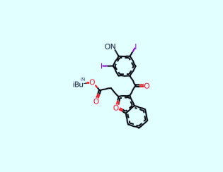 CC[C@H](C)OC(=O)Cc1oc2ccccc2c1C(=O)c1cc(I)c(N=O)c(I)c1